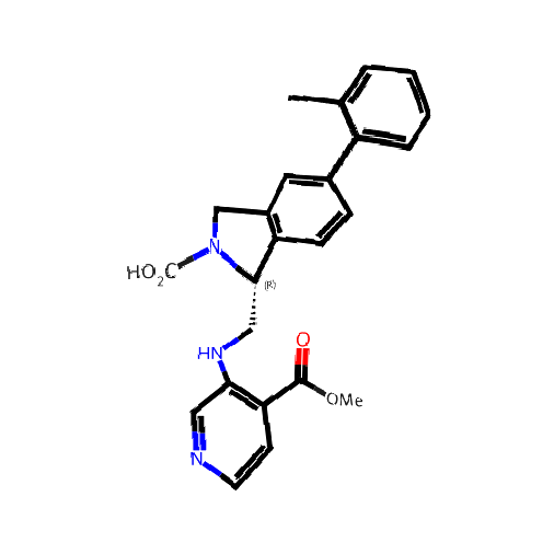 COC(=O)c1ccncc1NC[C@H]1c2ccc(-c3ccccc3C)cc2CN1C(=O)O